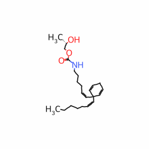 CCCCC/C=C\C1(/C=C\CCCCNC(=O)OC[C@H](C)O)C=CCC=C1